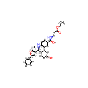 CCOC(=O)CCNC(=O)c1ccc(NC(c2cc(-c3ccccc3)oc2C)C2CCC(O)CC2)cc1